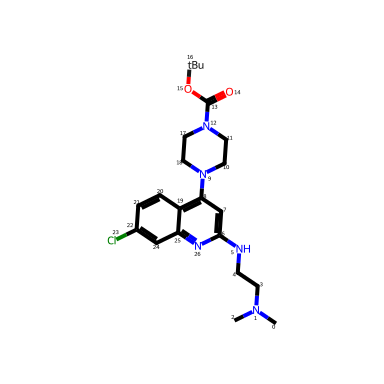 CN(C)CCNc1cc(N2CCN(C(=O)OC(C)(C)C)CC2)c2ccc(Cl)cc2n1